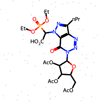 CCCc1nn(C(C(=O)O)P(=O)(OCC)OCC)c2c(=O)n(C3OC(COC(C)=O)C(OC(C)=O)C3OC(C)=O)nnc12